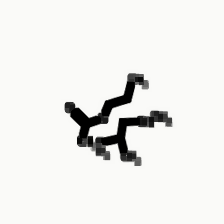 CC(C)CO.CCCOC(C)=O.O